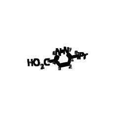 CC(C)c1ccc(C(=O)O)nn1